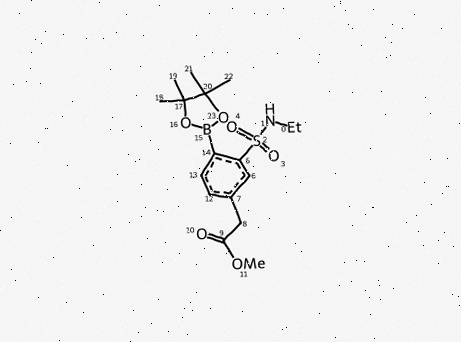 CCNS(=O)(=O)c1cc(CC(=O)OC)ccc1B1OC(C)(C)C(C)(C)O1